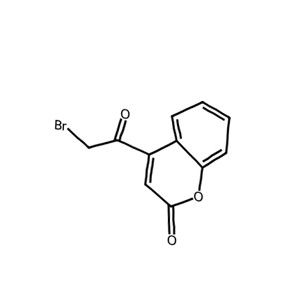 O=C(CBr)c1cc(=O)oc2ccccc12